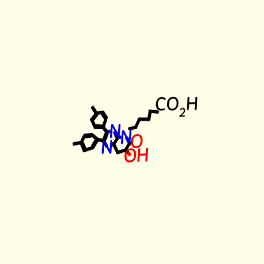 Cc1ccc(-c2nc3c(nc2-c2ccc(C)cc2)N(CCCCCCC(=O)O)C(=O)C(O)C3)cc1